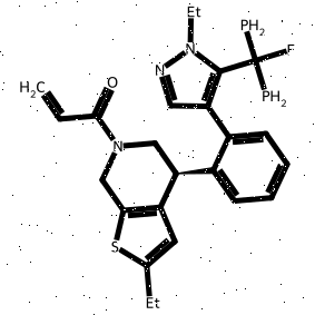 C=CC(=O)N1Cc2sc(CC)cc2[C@H](c2ccccc2-c2cnn(CC)c2C(F)(P)P)C1